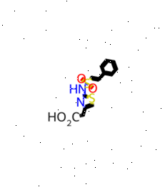 O=C(O)Cc1csc(NS(=O)(=O)/C=C/c2ccccc2)n1